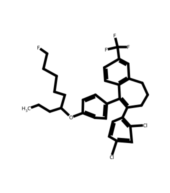 CCCC(CCCCCF)Oc1ccc(C2=C(c3ccc(Cl)cc3Cl)CCCc3cc(C(F)(F)F)ccc32)cc1